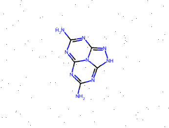 NC1=NC2=NNC3=NC(N)=NC(=N1)N23